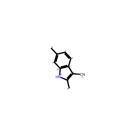 Cc1ccc2c(C#N)c(C)[nH]c2c1